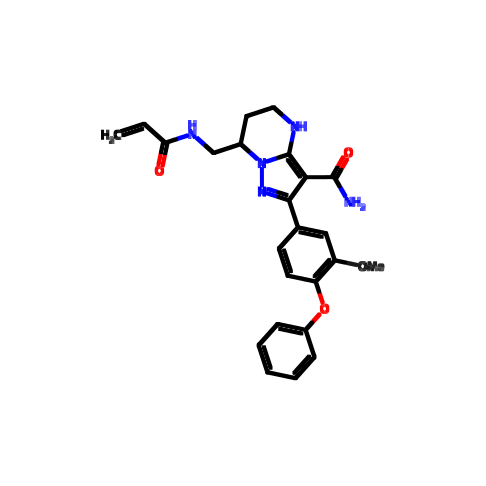 C=CC(=O)NCC1CCNc2c(C(N)=O)c(-c3ccc(Oc4ccccc4)c(OC)c3)nn21